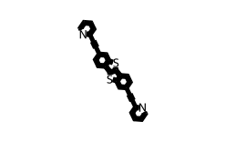 C(#Cc1ccccn1)c1ccc2c(c1)sc1c3ccc(C#Cc4ccccn4)cc3sc21